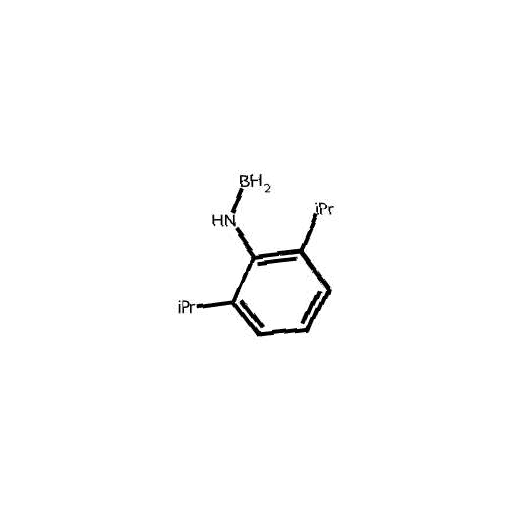 BNc1c(C(C)C)cccc1C(C)C